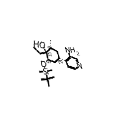 CC[C@]1(O)[C@H](C)C[C@H](c2ccncc2N)C[C@@H]1O[Si](C)(C)C(C)(C)C